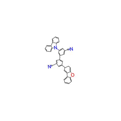 N#Cc1cc(-c2cc(C#N)cc(-n3c4ccccc4c4ccccc43)c2)cc(C2C=c3c(oc4ccccc34)=CC2)c1